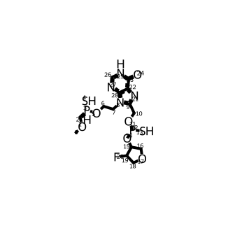 CO/C=[PH](/S)OCCn1c(COP(S)OC2COCC2F)nc2c(=O)[nH]cnc21